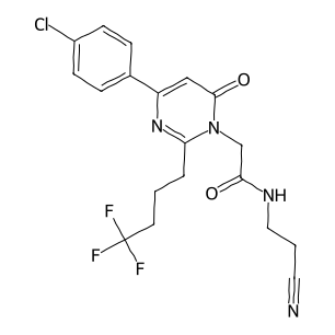 N#CCCNC(=O)Cn1c(CCCC(F)(F)F)nc(-c2ccc(Cl)cc2)cc1=O